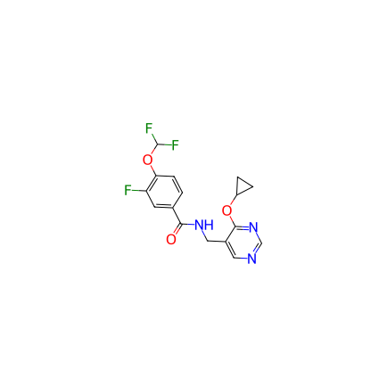 O=C(NCc1cncnc1OC1CC1)c1ccc(OC(F)F)c(F)c1